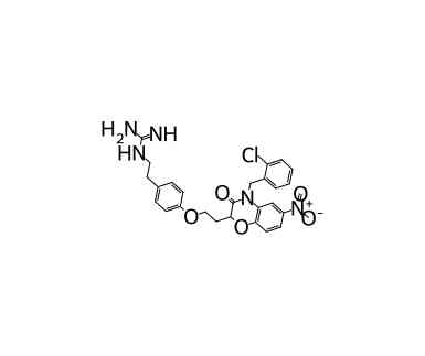 N=C(N)NCCc1ccc(OCCC2Oc3ccc([N+](=O)[O-])cc3N(Cc3ccccc3Cl)C2=O)cc1